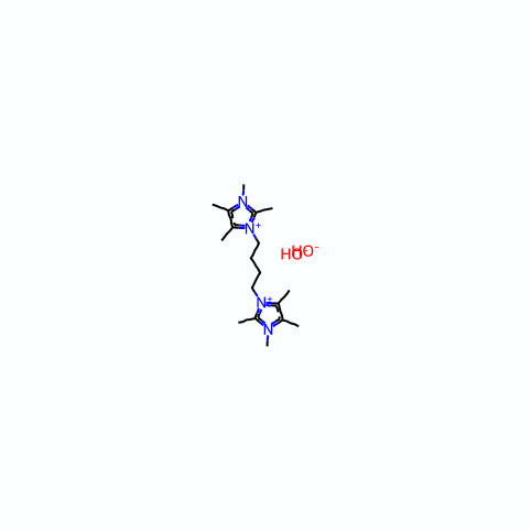 Cc1c(C)[n+](CCCC[n+]2c(C)c(C)n(C)c2C)c(C)n1C.[OH-].[OH-]